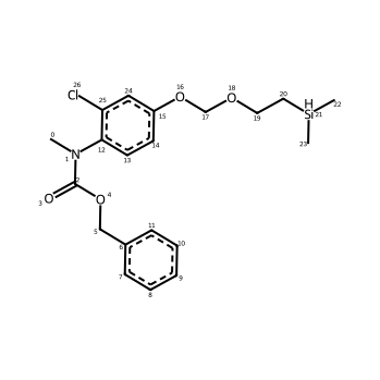 CN(C(=O)OCc1ccccc1)c1ccc(OCOCC[SiH](C)C)cc1Cl